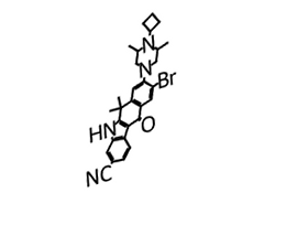 CC1CN(c2cc3c(cc2Br)C(=O)c2c([nH]c4cc(C#N)ccc24)C3(C)C)CC(C)N1C1CCC1